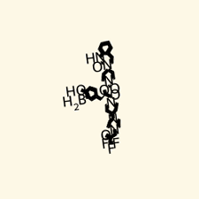 Bc1cc(C[C@@H](OC(=O)N2CCC(N3CCc4ccccc4NC3=O)CC2)C(=O)N2CCC(N3CCN(CC(=O)C(F)(F)F)CC3)CC2)ccc1O